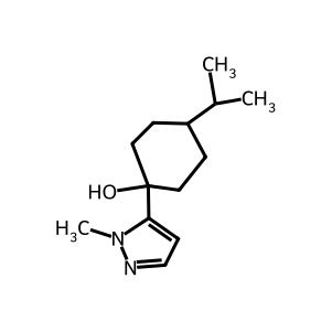 CC(C)C1CCC(O)(c2ccnn2C)CC1